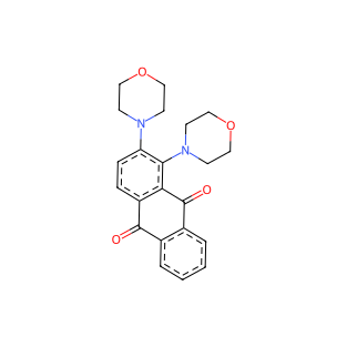 O=C1c2ccccc2C(=O)c2c1ccc(N1CCOCC1)c2N1CCOCC1